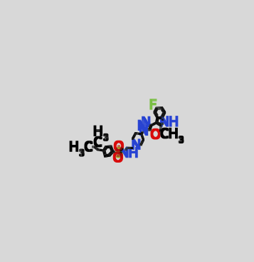 CC(=O)c1[nH]c2ccc(F)cc2c1-c1cn(C2CCN(CCNS(=O)(=O)c3ccc(CC(C)C)cc3)CC2)nn1